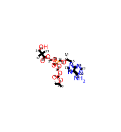 CC(C)OC(=O)OCOP(=O)(CO[C@H](C)Cn1cnc2c(N)ncnc21)OCOC(=O)C(C)(C)CO